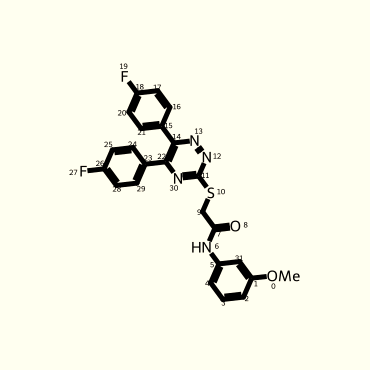 COc1cccc(NC(=O)CSc2nnc(-c3ccc(F)cc3)c(-c3ccc(F)cc3)n2)c1